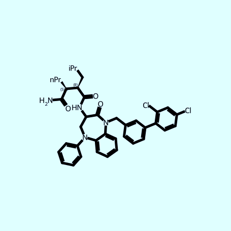 CCC[C@H](C(N)=O)[C@@H](CC(C)C)C(=O)NC1CN(c2ccccc2)c2ccccc2N(Cc2cccc(-c3ccc(Cl)cc3Cl)c2)C1=O